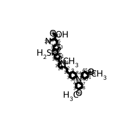 COc1ccc(N(c2ccc(/C=C/c3ccc(-c4cc5c(s4)-c4sc(/C=C(\C#N)C(=O)O)cc4[SiH2]5)n3C)cc2)c2ccc(OC)cc2)cc1